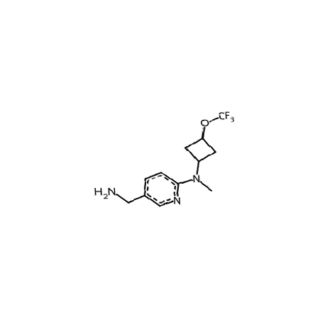 CN(c1ccc(CN)cn1)C1CC(OC(F)(F)F)C1